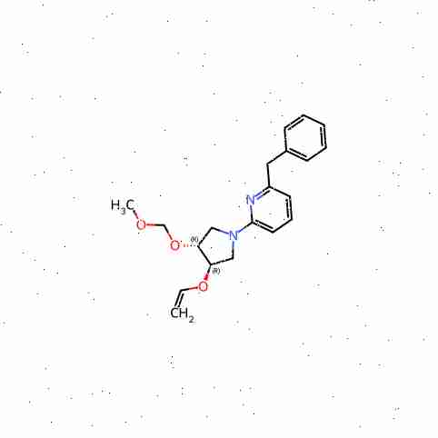 C=CO[C@@H]1CN(c2cccc(Cc3ccccc3)n2)C[C@H]1OCOC